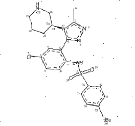 Cc1nnc(-c2cc(Cl)ccc2NS(=O)(=O)c2ccc(C(C)(C)C)cc2)n1[C@H]1CCCNC1